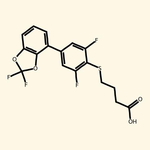 O=C(O)CCCSc1c(F)cc(-c2cccc3c2OC(F)(F)O3)cc1F